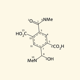 CNC(=O)c1cc(C(=O)O)c(C(O)NC)cc1C(=O)O